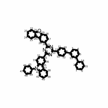 c1ccc(-c2cccc(-c3ccc(-c4nc(-c5ccc6oc7ccccc7c6c5)nc(-c5ccc6c(c5)c5ccccc5n6-c5ccccc5)n4)cc3)c2)cc1